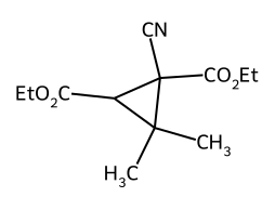 CCOC(=O)C1C(C)(C)C1(C#N)C(=O)OCC